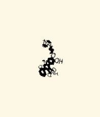 CN1CCN(CCCCOc2cc3c(cc2O)c2c4c(c(-c5ccccc5Cl)cc2n3C)C(=O)NC4=O)CC1